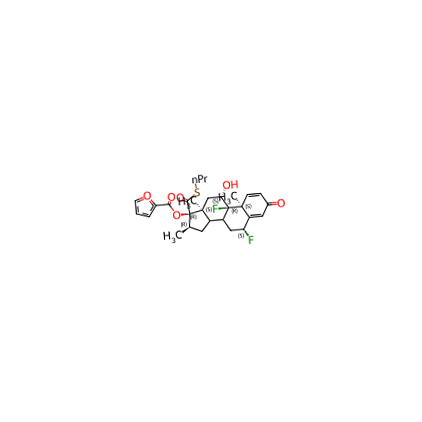 CCCSC(=O)[C@@]1(OC(=O)c2ccco2)[C@H](C)CC2C3C[C@H](F)C4=CC(=O)C=C[C@]4(C)[C@@]3(F)[C@@H](O)C[C@@]21C